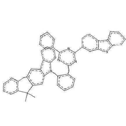 CC1(C)c2ccccc2-c2cc3c4ccccc4n(-c4ccccc4-c4nc(-c5ccccc5)nc(-c5ccc6c(c5)sc5ccccc56)n4)c3cc21